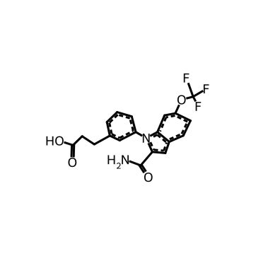 NC(=O)c1cc2ccc(OC(F)(F)F)cc2n1-c1cccc(CCC(=O)O)c1